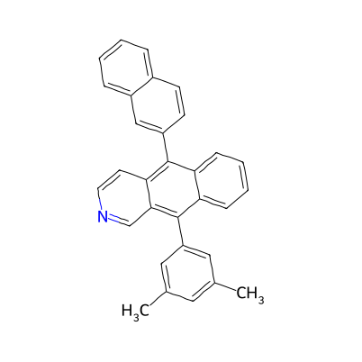 Cc1cc(C)cc(-c2c3ccccc3c(-c3ccc4ccccc4c3)c3ccncc23)c1